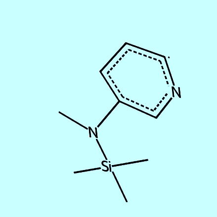 CN(c1cc[c]nc1)[Si](C)(C)C